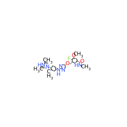 CNC(=O)c1cc(COc2cnc(Nc3ccc(N4C[C@@H](C)N[C@@H](C)C4)c(C)c3)nc2)c(F)c(OC)c1